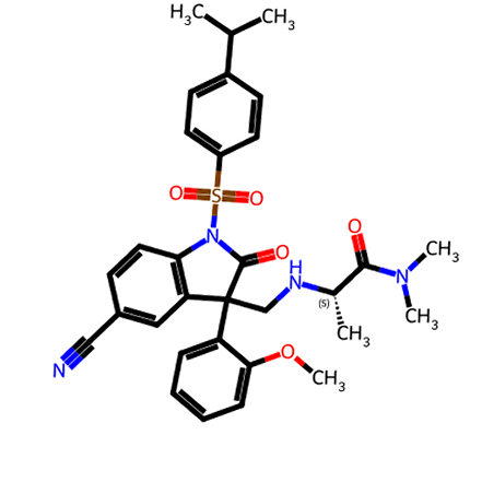 COc1ccccc1C1(CN[C@@H](C)C(=O)N(C)C)C(=O)N(S(=O)(=O)c2ccc(C(C)C)cc2)c2ccc(C#N)cc21